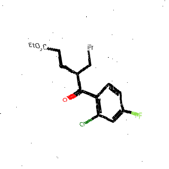 CCOC(=O)CCC(CC(C)C)C(=O)c1ccc(F)cc1Cl